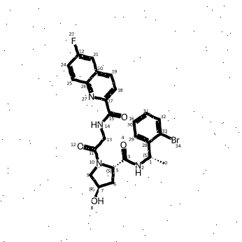 C[C@H](NC(=O)[C@@H]1C[C@@H](O)CN1C(=O)CNC(=O)c1ccc2cc(F)ccc2n1)c1ccccc1Br